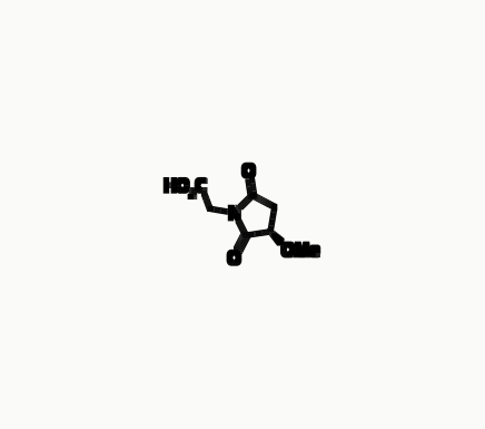 CO[C@@H]1CC(=O)N(CC(=O)O)C1=O